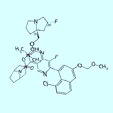 COCOc1cc(-c2ncc3c(N4CC5CCC(C4)N5C(=O)OC(C)(C)C)nc(OC[C@@]45CCCN4C[C@H](F)C5)nc3c2F)c2c(Cl)cccc2c1